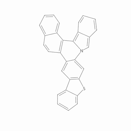 c1ccc2c(c1)ccc1c3cc4c(cc3n3cc5ccccc5c3c21)sc1ccccc14